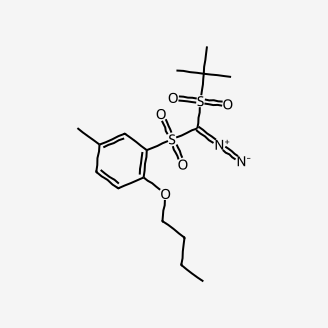 CCCCOc1ccc(C)cc1S(=O)(=O)C(=[N+]=[N-])S(=O)(=O)C(C)(C)C